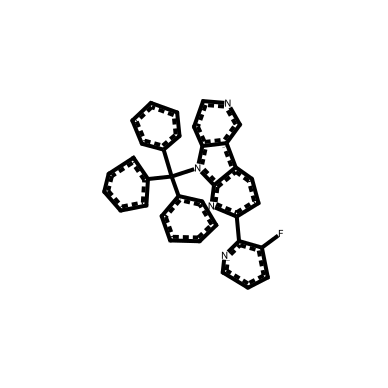 Fc1cccnc1-c1ccc2c3cnccc3n(C(c3ccccc3)(c3ccccc3)c3ccccc3)c2n1